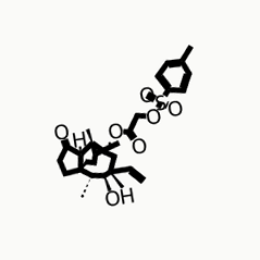 C=C[C@@]1(C)C[C@@H](OC(=O)COS(=O)(=O)c2ccc(C)cc2)[C@]2(C)C(C)CC[C@]3(CCC(=O)[C@H]32)[C@@H](C)[C@@H]1O